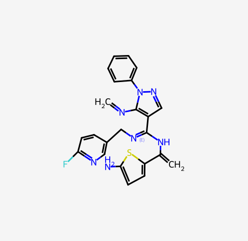 C=Nc1c(/C(=N\Cc2ccc(F)nc2)NC(=C)c2ccc(N)s2)cnn1-c1ccccc1